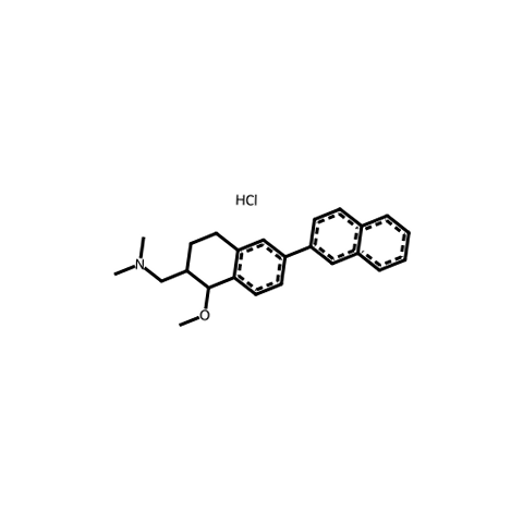 COC1c2ccc(-c3ccc4ccccc4c3)cc2CCC1CN(C)C.Cl